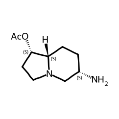 CC(=O)O[C@H]1CCN2C[C@@H](N)CC[C@@H]12